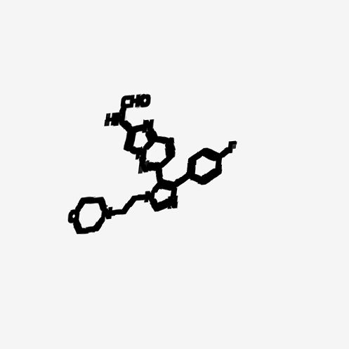 O=CNc1cn2nc(-c3c(-c4ccc(F)cc4)ncn3CCN3CCOCC3)ccc2n1